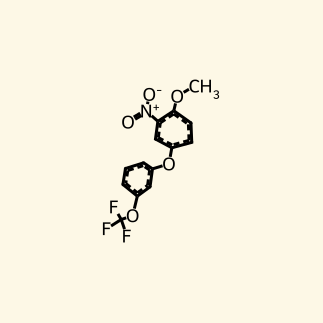 COc1ccc(Oc2cccc(OC(F)(F)F)c2)cc1[N+](=O)[O-]